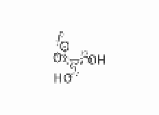 CCOC(=O)C1C(CO)C1CO